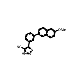 COc1ccc2cc(-c3cccc(-c4nn[nH]c4C#N)c3)ccc2c1